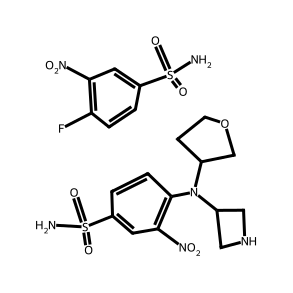 NS(=O)(=O)c1ccc(F)c([N+](=O)[O-])c1.NS(=O)(=O)c1ccc(N(C2CNC2)C2CCOC2)c([N+](=O)[O-])c1